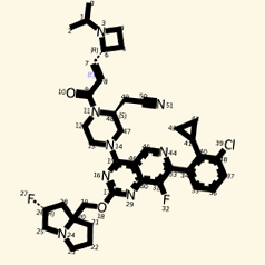 CC(C)N1CC[C@@H]1/C=C/C(=O)N1CCN(c2nc(OCC34CCCN3C[C@H](F)C4)nc3c(F)c(-c4cccc(Cl)c4C4CC4)ncc23)C[C@@H]1CC#N